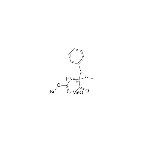 COC(=O)[C@@]1(NC(=O)OC(C)(C)C)C(C)C1c1ccccc1